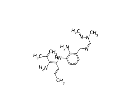 C=NN(C)/C=N\Cc1cccc(NC(/C=C/C)=C(/N)C(=C)C)c1N